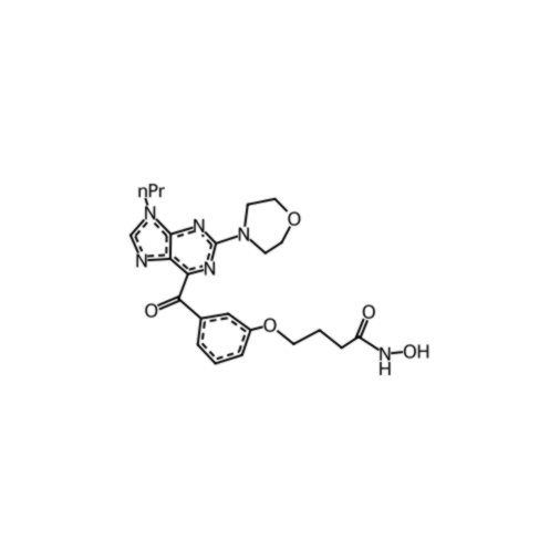 CCCn1cnc2c(C(=O)c3cccc(OCCCC(=O)NO)c3)nc(N3CCOCC3)nc21